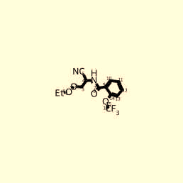 CCOOCC(C#N)NC(=O)c1ccccc1OC(F)(F)F